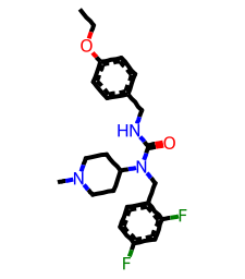 CCOc1ccc(CNC(=O)N(Cc2ccc(F)cc2F)C2CCN(C)CC2)cc1